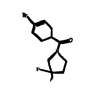 O=C(C1CC=C(Br)CC1)N1CCC(F)(F)C1